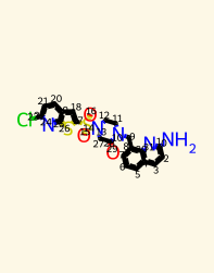 Nc1ccc2cccc(CN3CCN(S(=O)(=O)c4cc5ccc(Cl)nc5s4)CC3=O)c2n1